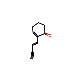 C#CC=CC1=CCCCC1=O